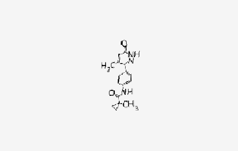 Cc1cc(=O)[nH]nc1-c1ccc(NC(=O)C2(C)CC2)cc1